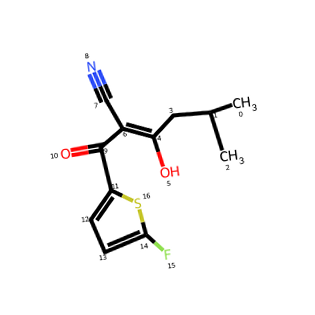 CC(C)CC(O)=C(C#N)C(=O)c1ccc(F)s1